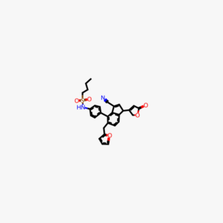 CCCCS(=O)(=O)Nc1ccc(-c2c(Cc3ccco3)ccc3c2C(C#N)=CC3C2=CC(=O)OC2)cc1